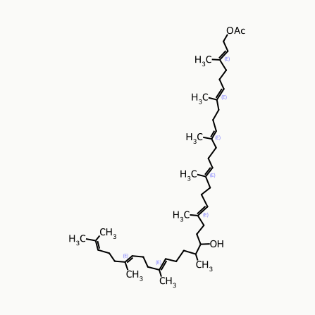 CC(=O)OC/C=C(\C)CC/C=C(\C)CC/C=C(\C)CC/C=C(\C)CC/C=C(\C)CCC(O)C(C)CC/C=C(\C)CC/C=C(\C)CCC=C(C)C